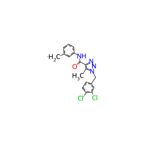 [CH2]c1cccc(NC(=O)c2nnn(Cc3ccc(Cl)c(Cl)c3)c2C)c1